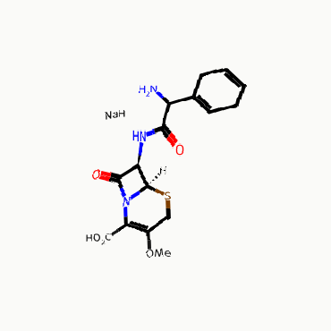 COC1=C(C(=O)O)N2C(=O)[C@@H](NC(=O)C(N)C3=CCC=CC3)[C@H]2SC1.[NaH]